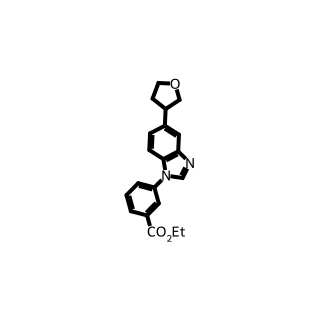 CCOC(=O)c1cccc(-n2cnc3cc(C4CCOC4)ccc32)c1